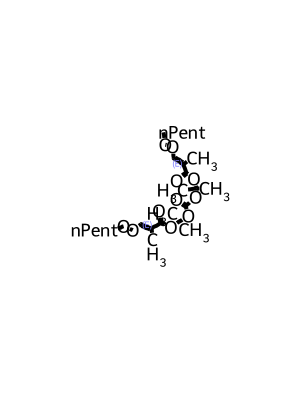 CCCCCOO/C=C(\C)C(=O)OC(C)(C)OC(=O)OC(C)(C)OC(=O)/C(C)=C/OOCCCCC